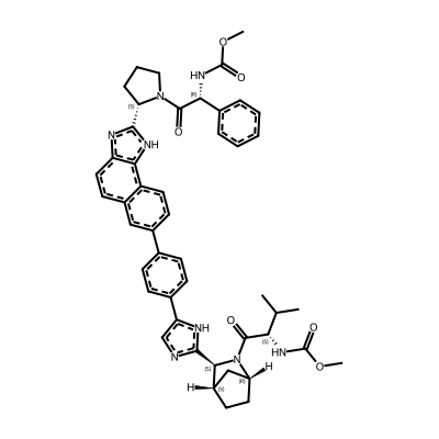 COC(=O)N[C@H](C(=O)N1[C@@H]2CC[C@@H](C2)[C@H]1c1ncc(-c2ccc(-c3ccc4c(ccc5nc([C@@H]6CCCN6C(=O)[C@H](NC(=O)OC)c6ccccc6)[nH]c54)c3)cc2)[nH]1)C(C)C